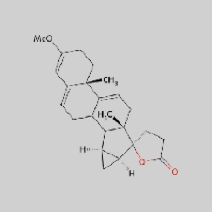 COC1=CC2=CCC3C(=CC[C@@]4(C)C3[C@@H]3C[C@@H]3[C@@]43CCC(=O)O3)[C@@]2(C)CC1